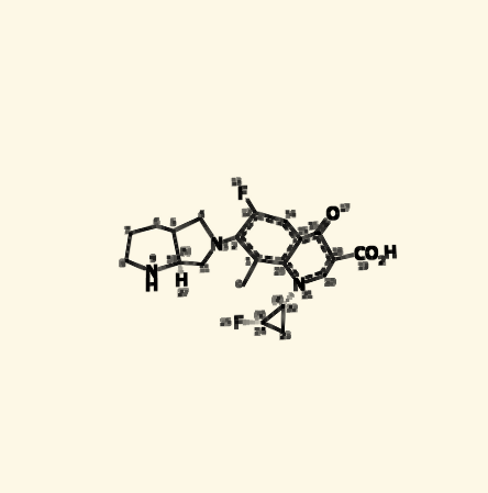 Cc1c(N2CC3CCCN[C@@H]3C2)c(F)cc2c(=O)c(C(=O)O)cn([C@@H]3C[C@@H]3F)c12